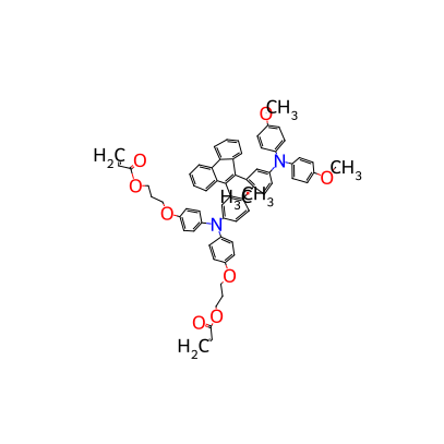 C=CC(=O)OCCCOc1ccc(N(c2ccc(OCCCOC(=O)C=C)cc2)c2ccc(C)c(-c3c(-c4cc(N(c5ccc(OC)cc5)c5ccc(OC)cc5)ccc4C)c4ccccc4c4ccccc34)c2)cc1